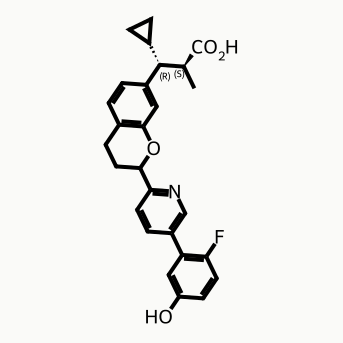 C[C@H](C(=O)O)[C@H](c1ccc2c(c1)OC(c1ccc(-c3cc(O)ccc3F)cn1)CC2)C1CC1